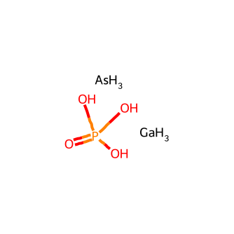 O=P(O)(O)O.[AsH3].[GaH3]